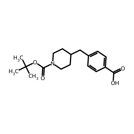 CC(C)(C)OC(=O)N1CCC(Cc2ccc(C(=O)O)cc2)CC1